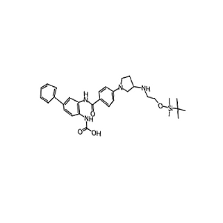 CC(C)(C)[Si](C)(C)OCCNC1CCN(c2ccc(C(=O)Nc3cc(-c4ccccc4)ccc3NC(=O)O)cc2)C1